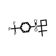 CC(C)(C)C1(S(=O)(=O)c2ccc(C(F)(F)F)cc2)CCC1